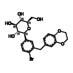 OC[C@H]1O[C@@H](c2ccc(Br)c(Cc3ccc4c(c3)OCCO4)c2)[C@H](O)[C@@H](O)[C@@H]1O